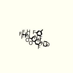 Cc1cc(F)c(-n2cc(C(=O)NC(C)(C)C(F)(F)F)c(=O)c3cc(F)c(N4CCOCC4)nc32)c(F)c1